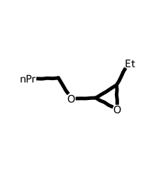 CCCCOC1OC1CC